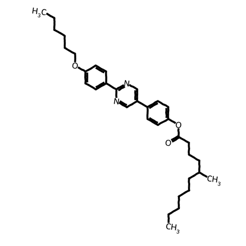 CCCCCCOc1ccc(-c2ncc(-c3ccc(OC(=O)CCCC(C)CCCCCC)cc3)cn2)cc1